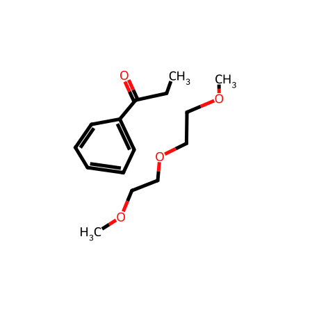 CCC(=O)c1ccccc1.COCCOCCOC